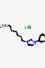 Br.CCCCCCCCCCCCCCCCN1C=CN(c2ccccc2)C1